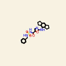 O=C(NS(=O)(=O)NCc1ccccc1)c1cnc(Nc2c3c(cc4c2CCC4)CCC3)o1